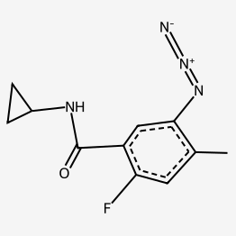 Cc1cc(F)c(C(=O)NC2CC2)cc1N=[N+]=[N-]